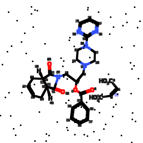 O=C(O)/C=C\C(=O)O.O=C(OC(CN1CCN(c2ncccn2)CC1)CN1C(=O)[C@H]2CC=CC[C@H]2C1=O)c1ccccc1